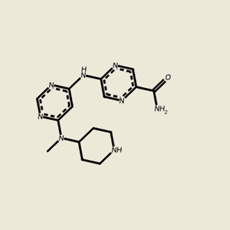 CN(c1cc(Nc2cnc(C(N)=O)cn2)ncn1)C1CCNCC1